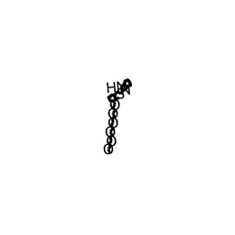 COCCOCCOCCOCCOCCOc1cccc(CSc2nc3ccccc3[nH]2)c1C